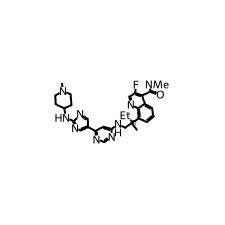 CC[C@@](C)(CNc1cc(-c2cnc(NC3CCN(C)CC3)nc2)ncn1)c1cccc2c(C(=O)NC)c(F)cnc12